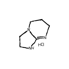 C1CN=C2NCCN2C1.Cl